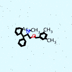 CC(=O)N(C)C(COCc1cc(C)cc(C)c1)C(c1ccccc1)c1ccccc1